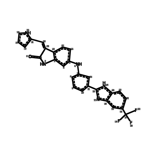 O=C1Nc2cc(Nc3cccc(-c4nc5cc(C(F)(F)F)ccc5[nH]4)c3)ccc2/C1=C/c1ccc[nH]1